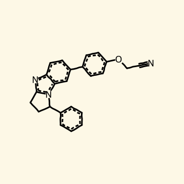 N#CCOc1ccc(-c2ccc3nc4n(c3c2)C(c2ccccc2)CC4)cc1